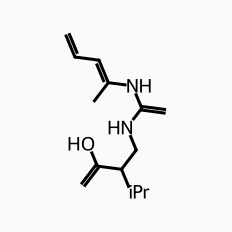 C=C/C=C(\C)NC(=C)NCC(C(=C)O)C(C)C